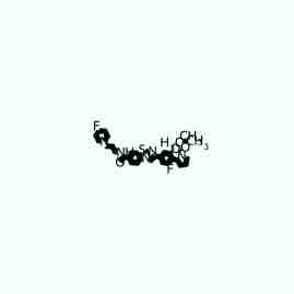 CC(C)(C)OC(=O)N1CCCC1c1ccc(-c2cn3c(n2)sc2cc(C(=O)NCCCN4CCC(F)CC4)ccc23)cc1F